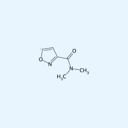 CN(C)C(=O)c1c[c]on1